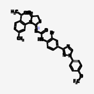 COC(C)c1ccc(C)cc1N1C(=O)CS/C1=N\C(=O)Nc1ccc(-c2ncn(-c3ccc(OC(F)(F)F)cc3)n2)cc1Br